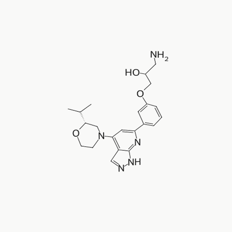 CC(C)[C@@H]1CN(c2cc(-c3cccc(OCC(O)CN)c3)nc3[nH]ncc23)CCO1